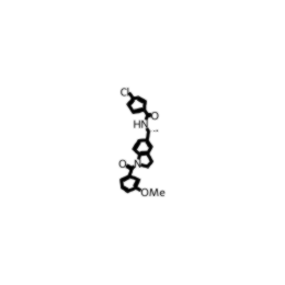 COc1cccc(C(=O)N2CCc3cc([C@@H](C)NC(=O)c4ccc(Cl)cc4)ccc32)c1